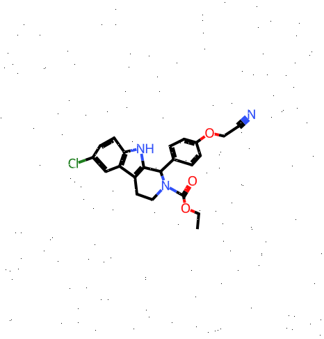 CCOC(=O)N1CCc2c([nH]c3ccc(Cl)cc23)C1c1ccc(OCC#N)cc1